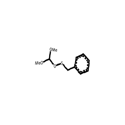 COC(OC)OSCc1ccccc1